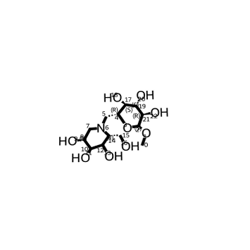 CO[C@H]1O[C@H](CN2C[C@H](O)C(O)C(O)[C@H]2CO)[C@@H](O)[C@H](O)[C@H]1O